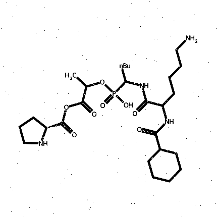 CCCCC(NC(=O)C(CCCCN)NC(=O)C1CCCCC1)P(=O)(O)OC(C)C(=O)OC(=O)[C@@H]1CCCN1